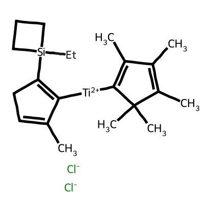 CC[Si]1(C2=[C]([Ti+2][C]3=C(C)C(C)=C(C)C3(C)C)C(C)=CC2)CCC1.[Cl-].[Cl-]